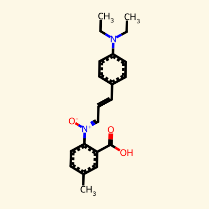 CCN(CC)c1ccc(C=CC=[N+]([O-])c2ccc(C)cc2C(=O)O)cc1